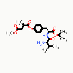 C=C(CC(=O)OC)C(=O)Oc1ccc(C[C@H](NC(=O)[C@@H](N)C(C)C)C(=O)OC(C)C)cc1